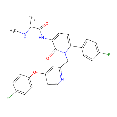 CNC(C)C(=O)Nc1ccc(-c2ccc(F)cc2)n(Cc2cc(Oc3ccc(F)cc3)ccn2)c1=O